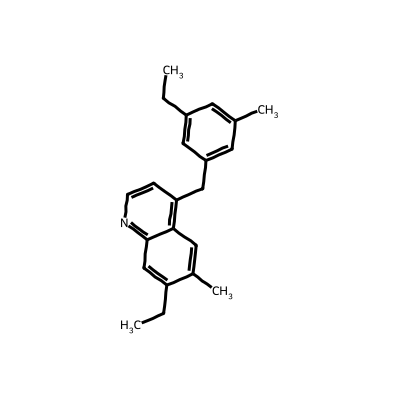 CCc1cc(C)cc(Cc2ccnc3cc(CC)c(C)cc23)c1